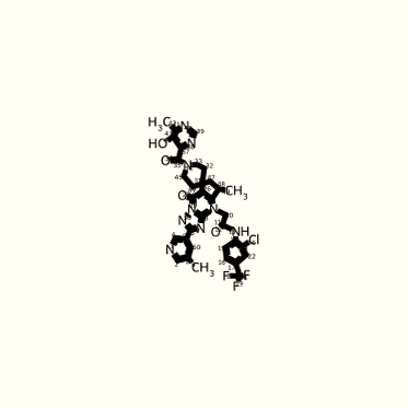 Cc1cncc(-c2nc3n(CC(=O)Nc4ccc(C(F)(F)F)cc4Cl)c4c(c(=O)n3n2)C2(CCN(C(=O)c3ncnc(C)c3O)CC2)CC4C)c1